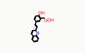 OOCc1cc(/C=C/c2ccc3ccccc3n2)ccc1O